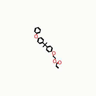 C=CC(=O)OCCOc1ccc(C(C)(C)c2ccc(Oc3ccccc3)cc2)cc1